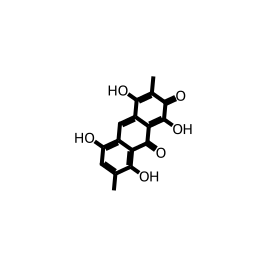 CC1=C(O)C2=Cc3c(O)cc(C)c(O)c3C(=O)C2=C(O)C1=O